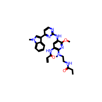 C=CC(=O)Nc1cc(Nc2nccc(-c3cn(C)c4ccccc34)n2)c(OC)nc1N(C)CCNC(=O)CC